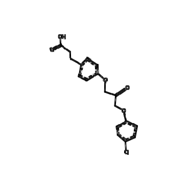 O=C(O)CCc1ccc(OCC(=O)COc2ccc(Cl)cc2)cc1